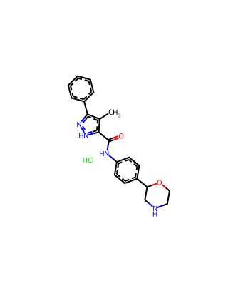 Cc1c(-c2ccccc2)n[nH]c1C(=O)Nc1ccc(C2CNCCO2)cc1.Cl